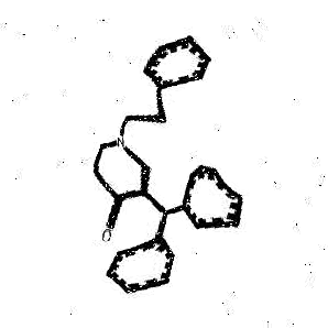 O=C1CCN(CCc2ccccc2)CC1C(c1ccccc1)c1ccccc1